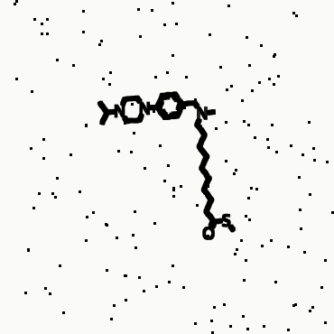 CSC(=O)CCCCCCCCCN(C)Cc1ccc(N2CCN(C(C)C)CC2)cc1